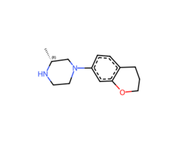 C[C@@H]1CN(c2ccc3c(c2)OCCC3)CCN1